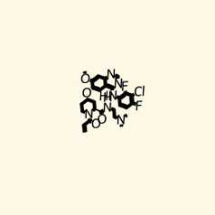 C=CC(=O)N1CC[C@H](Oc2cc3c(Nc4ccc(F)c(Cl)c4F)ncnc3cc2OC)C[C@H]1C(=O)NCCN(C)C